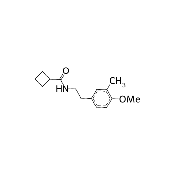 COc1ccc(CCNC(=O)C2CCC2)cc1C